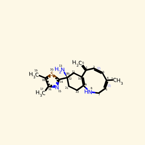 C=C1/C=C\C(C)=C/CNC2=C1C[C@@](N)(c1nc(C)c(C)s1)CC2